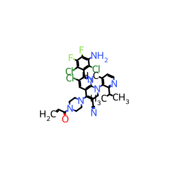 C=CC(=O)N1CCN(C2=C(C#N)CN(c3c(C)ccnc3C(C)C)c3nc(-c4c(Cl)c(N)c(F)c(F)c4Cl)c(Cl)cc32)CC1